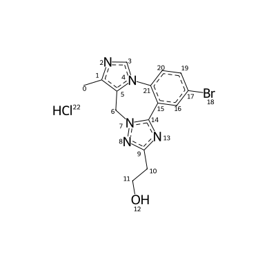 Cc1ncn2c1Cn1nc(CCO)nc1-c1cc(Br)ccc1-2.Cl